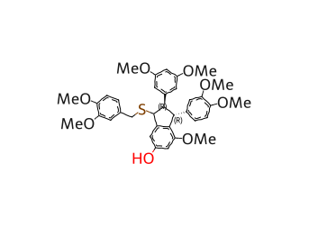 COc1cc(OC)cc([C@@H]2C(SCc3ccc(OC)c(OC)c3)c3cc(O)cc(OC)c3[C@H]2c2ccc(OC)c(OC)c2)c1